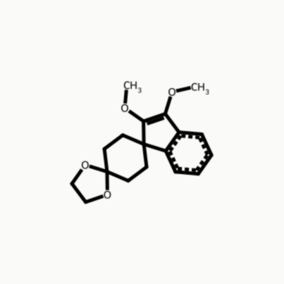 COC1=C(OC)C2(CCC3(CC2)OCCO3)c2ccccc21